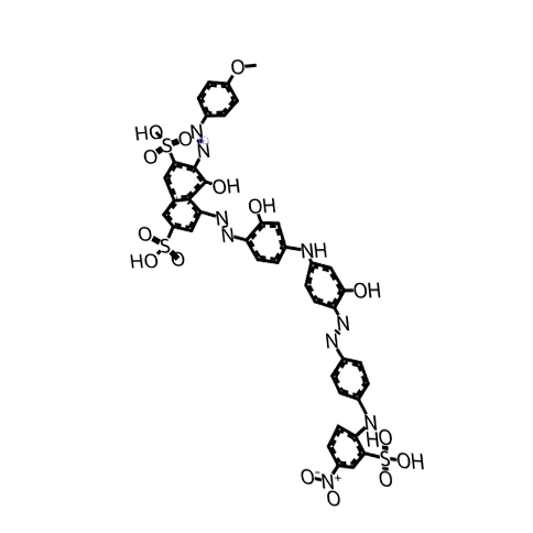 COc1ccc(/N=N/c2c(S(=O)(=O)O)cc3cc(S(=O)(=O)O)cc(N=Nc4ccc(Nc5ccc(N=Nc6ccc(Nc7ccc([N+](=O)[O-])cc7S(=O)(=O)O)cc6)c(O)c5)cc4O)c3c2O)cc1